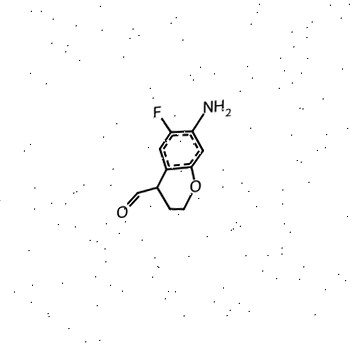 Nc1cc2c(cc1F)C(C=O)CCO2